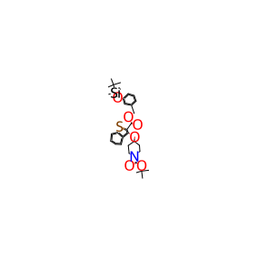 CC(C)(C)OC(=O)N1CCC(Oc2c(C(=O)OCc3cccc(O[Si](C)(C)C(C)(C)C)c3)sc3ccccc23)CC1